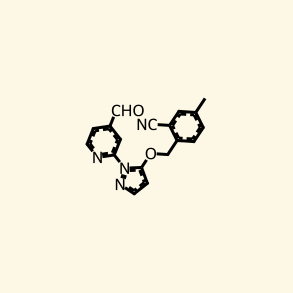 Cc1ccc(COc2ccnn2-c2cc(C=O)ccn2)c(C#N)c1